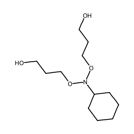 OCCCON(OCCCO)C1CCCCC1